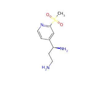 CS(=O)(=O)c1cc([C@@H](N)CCN)ccn1